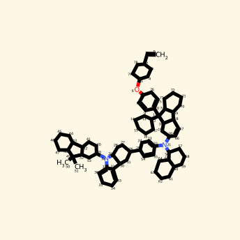 C=CC1CCC(OC2C=CC(C3(C4CCCCC4)C4CC(N(C5=CCC(C6CCC7C(C6)C6=CCCC=C6N7C6CCC7C8CCCCC8C(C)(C)C7C6)C=C5)C5CCCC6CCCCC65)C=CC4C4CCCCC43)=CC2)CC1